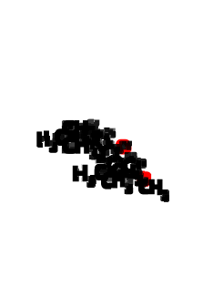 COc1ccc(C2=C(C(C)(C)C)C=C3C(=Cc4ccc(C(C)(C)C)cc43)C2=O)cc1